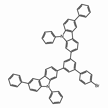 Brc1ccc(-c2cc(-c3ccc4c5cc(-c6ccccc6)ccc5n(-c5ccccc5)c4c3)cc(-c3ccc4c5cc(-c6ccccc6)ccc5n(-c5ccccc5)c4c3)c2)cc1